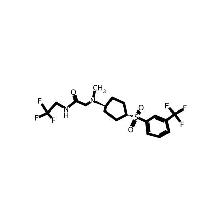 CN(CC(=O)NCC(F)(F)F)[C@H]1CC[C@H](S(=O)(=O)c2cccc(C(F)(F)F)c2)CC1